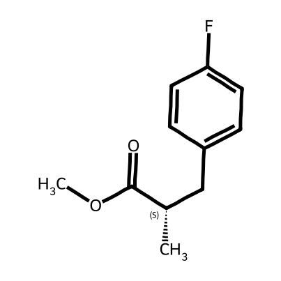 COC(=O)[C@@H](C)Cc1ccc(F)cc1